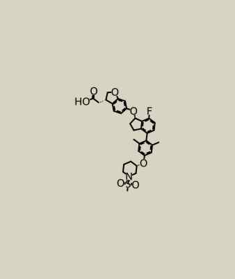 Cc1cc(O[C@H]2CCCN(S(C)(=O)=O)C2)cc(C)c1-c1ccc(F)c2c1CC[C@H]2Oc1ccc2c(c1)OC[C@H]2CC(=O)O